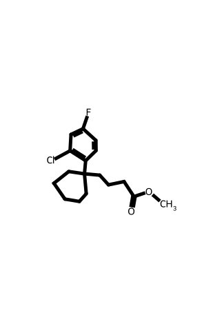 COC(=O)CCCC1(c2ccc(F)cc2Cl)CCCCC1